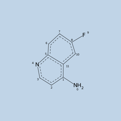 Nc1ccnc2ccc(F)cc12